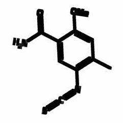 COc1cc(C)c(N=C=S)cc1C(N)=O